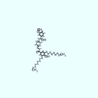 CCCCCCCCCc1cc(C(=O)C=CN2CCN(CC(O)c3cccc(OC)c3)CC2)cc(CCCCCCCCC)c1O